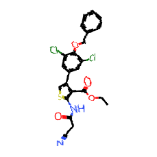 CCOC(=O)c1c(-c2cc(Cl)c(OCc3ccccc3)c(Cl)c2)csc1NC(=O)CC#N